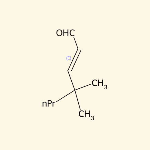 CCCC(C)(C)/C=C/C=O